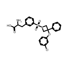 NC(Cc1cccc(S(=O)(=O)N2CC(Oc3cccc(Cl)c3)(c3ccccc3)C2)c1)C(=O)O